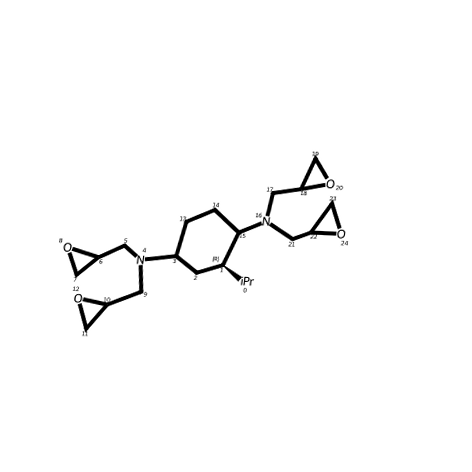 CC(C)[C@H]1CC(N(CC2CO2)CC2CO2)CCC1N(CC1CO1)CC1CO1